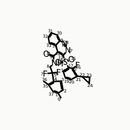 Cc1ccc(C(F)(F)CNC(=O)c2c(S(=O)(=O)c3cccc(C4CC4)c3F)nnc3ccccc23)c(C)c1